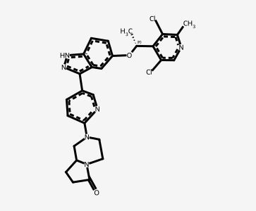 Cc1ncc(Cl)c([C@@H](C)Oc2ccc3[nH]nc(-c4ccc(N5CCN6C(=O)CCC6C5)nc4)c3c2)c1Cl